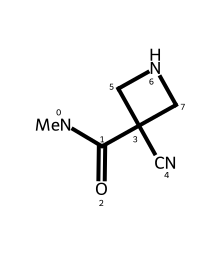 CNC(=O)C1(C#N)CNC1